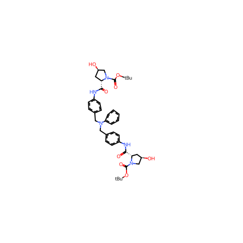 CC(C)(C)OC(=O)N1C[C@H](O)C[C@H]1C(=O)Nc1ccc(CN(Cc2ccc(NC(=O)[C@@H]3C[C@@H](O)CN3C(=O)OC(C)(C)C)cc2)c2ccccc2)cc1